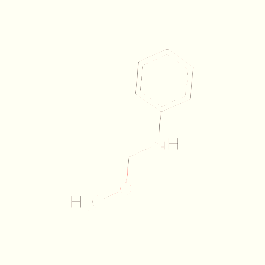 COC[SiH]c1ccccc1